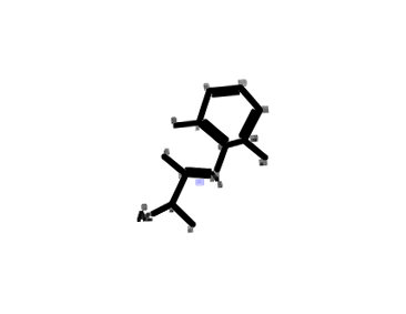 CC(=O)C(C)/C(C)=N/c1c(C)cccc1C